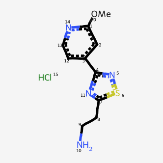 COc1cc(-c2nsc(CCN)n2)ccn1.Cl